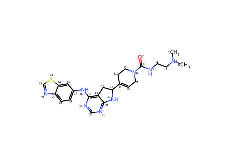 CN(C)CCNC(=O)N1CC=C(C2Cc3c(Nc4ccc5ncsc5c4)ncnc3N2)CC1